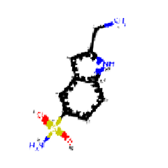 NCc1cc2cc(S(N)(=O)=O)ccc2[nH]1